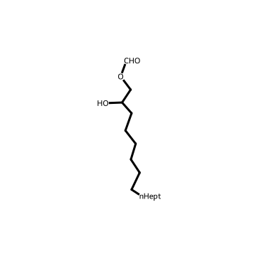 CCCCCCCCCCCCCC(O)COC=O